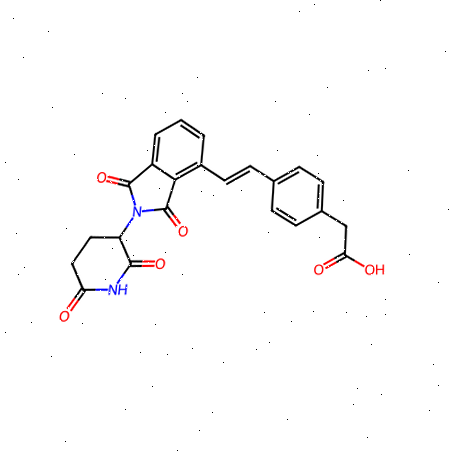 O=C(O)Cc1ccc(/C=C/c2cccc3c2C(=O)N(C2CCC(=O)NC2=O)C3=O)cc1